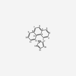 [c]1cccc2c1ccc1ccccc12.[c]1cccs1